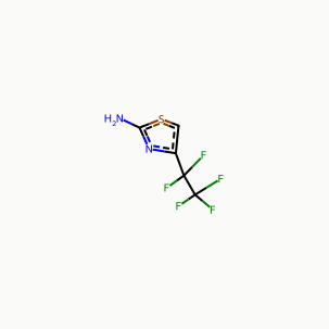 Nc1nc(C(F)(F)C(F)(F)F)cs1